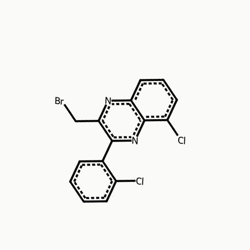 Clc1ccccc1-c1nc2c(Cl)cccc2nc1CBr